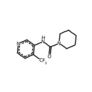 O=C(Nc1cnccc1C(F)(F)F)N1CCCCC1